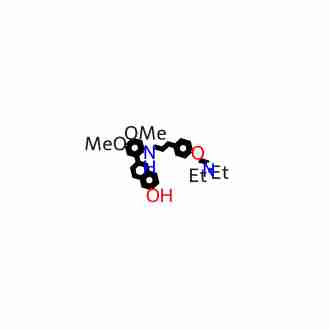 CCN(CC)CCOc1ccc(CCCNc2cc(OC)c(OC)cc2C2CCc3cc(O)ccc3C2)cc1